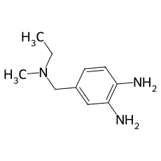 CCN(C)Cc1ccc(N)c(N)c1